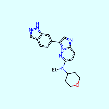 CCN(c1ccc2ncc(-c3ccc4cn[nH]c4c3)n2n1)C1CCOCC1